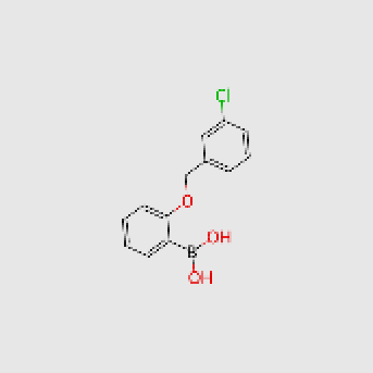 OB(O)c1ccccc1OCc1cccc(Cl)c1